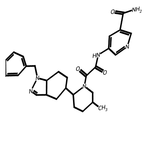 CC1CCC(C2CCC3C(C=NN3Cc3ccccc3)C2)N(C(=O)C(=O)Nc2cncc(C(N)=O)c2)C1